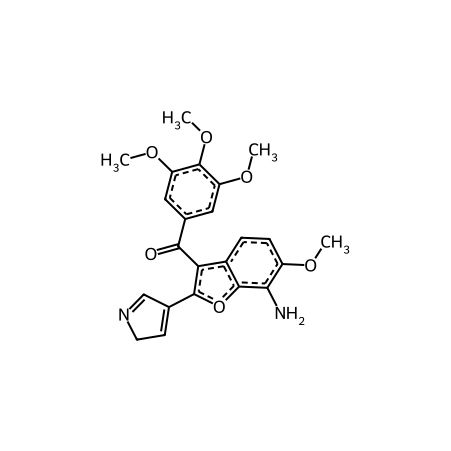 COc1cc(C(=O)c2c(C3=CCN=C3)oc3c(N)c(OC)ccc23)cc(OC)c1OC